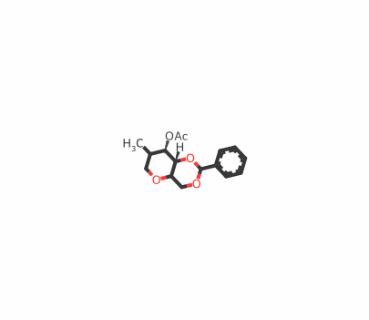 CC(=O)O[C@@H]1C(C)COC2COC(c3ccccc3)O[C@H]21